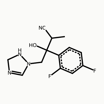 CC(C#N)C(O)(CN1C=NCN1)c1ccc(F)cc1F